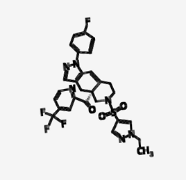 CCn1cc(S(=O)(=O)N2CCC3=Cc4c(cnn4-c4ccc(F)cc4)C[C@]3(C(=O)c3cc(C(F)(F)F)ccn3)C2)cn1